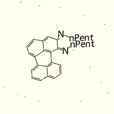 CCCCCN=c1cc2cccc3c4cccc5cccc(c(c1=NCCCCC)c23)c54